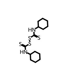 S=C(NC1CCCCC1)SSC(=S)NC1CCCCC1